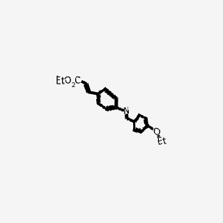 CCOC(=O)C=Cc1ccc(N=Cc2ccc(OCC)cc2)cc1